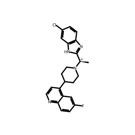 C[C@H](c1nc2ccc(Cl)cc2[nH]1)N1CCC(c2ccnc3ccc(F)cc23)CC1